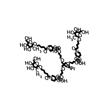 CC(C)OCC(COCCCOP(=O)(O)OC1CCN(C(=O)CCCCOC2OC(CO)C(O)C(O)C2C)CC1)(COCCCOP(=O)(O)OC1CCN(C(=O)CCCCOC2OC(CO)C(O)C(O)C2C)CC1)COCCCOP(=O)(O)OC1CCN(C(=O)CCCCOC2OC(CO)C(O)C(O)C2C)CC1